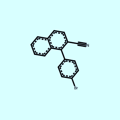 N#Cc1ccc2ccccc2c1-c1ccc(Br)cc1